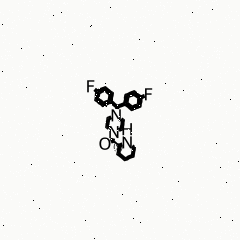 O=C([C@@H]1CCCCN1)N1CCN(C(c2ccc(F)cc2)c2ccc(F)cc2)CC1